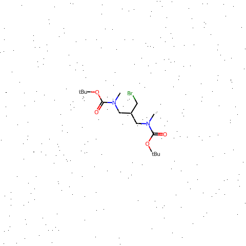 CN(CC(CBr)CN(C)C(=O)OC(C)(C)C)C(=O)OC(C)(C)C